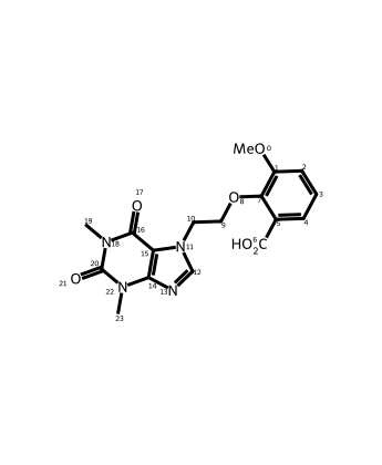 COc1cccc(C(=O)O)c1OCCn1cnc2c1c(=O)n(C)c(=O)n2C